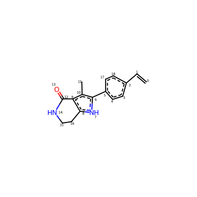 C=Cc1ccc(-c2[nH]c3c(c2C)C(=O)NCC3)cc1